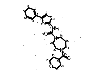 O=C(Nc1nc(C2=CCCC=C2)cs1)N1CCCN(C(=O)C2CCOCC2)CC1